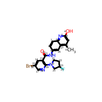 Cc1cc(O)nc2ccc(NC(=O)c3cc(Br)cnc3N3CCC(F)C3)cc12